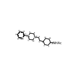 CC(=O)NC1CCC(CCN2CCN(c3ccccn3)CC2)CC1